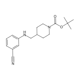 CC(C)(C)OC(=O)N1CCC(CNc2cccc(C#N)c2)CC1